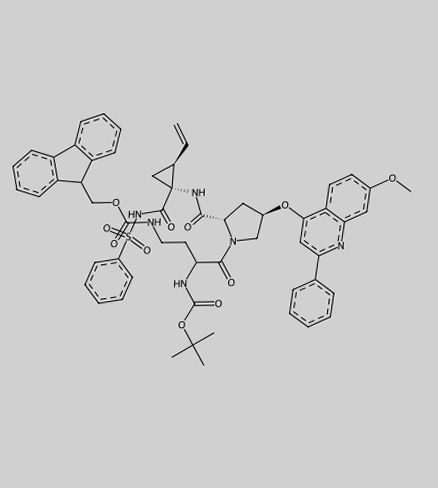 C=C[C@@H]1C[C@]1(NC(=O)[C@@H]1C[C@@H](Oc2cc(-c3ccccc3)nc3cc(OC)ccc23)CN1C(=O)C(CCNC(=O)OCC1c2ccccc2-c2ccccc21)NC(=O)OC(C)(C)C)C(=O)NS(=O)(=O)c1ccccc1